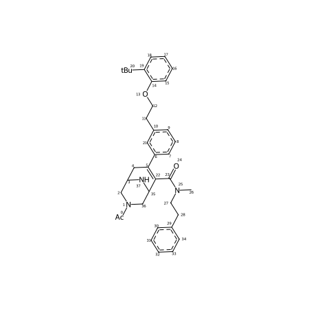 CC(=O)N1CC2CC(c3cccc(CCOc4ccccc4C(C)(C)C)c3)=C(C(=O)N(C)CCc3ccccc3)C(C1)N2